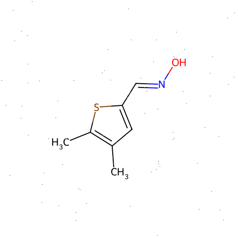 Cc1cc(C=NO)sc1C